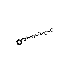 OCCOCCOCCOCCSSCc1ccccc1